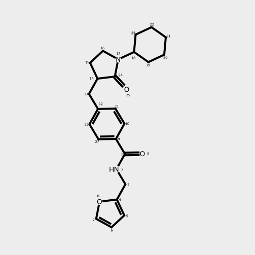 O=C(NCc1ccco1)c1ccc(CC2CCN(C3CCCCC3)C2=O)cc1